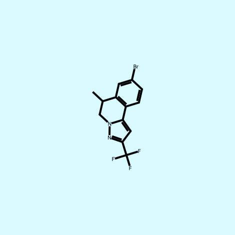 CC1Cn2nc(C(F)(F)F)cc2-c2ccc(Br)cc21